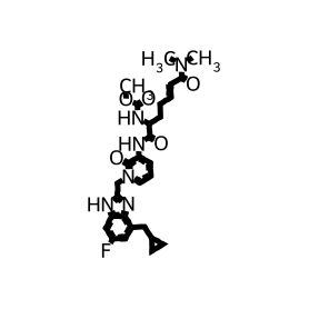 COC(=O)NC(CC/C=C/C(=O)N(C)C)C(=O)Nc1cccn(Cc2nc3c(CC4CC4)cc(F)cc3[nH]2)c1=O